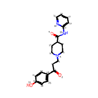 O=C(CCN1CCC(C(=O)Nc2ccccn2)CC1)c1ccc(O)cc1